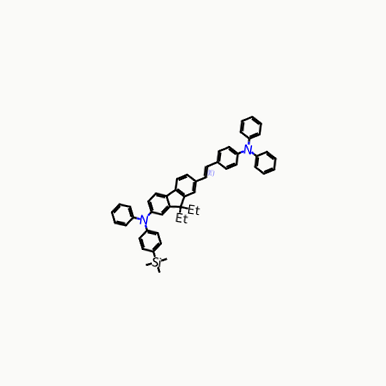 CCC1(CC)c2cc(/C=C/c3ccc(N(c4ccccc4)c4ccccc4)cc3)ccc2-c2ccc(N(c3ccccc3)c3ccc([Si](C)(C)C)cc3)cc21